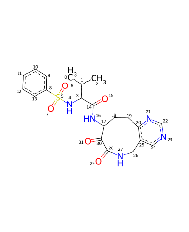 CC(C)C(NS(=O)(=O)c1ccccc1)C(=O)NC1CCc2ncncc2CNC(=O)C1=O